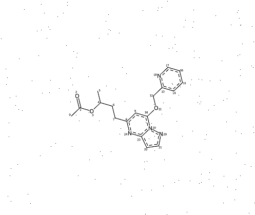 CC(=O)OC(C)CCc1cc(OCc2ccccn2)n2nccc2n1